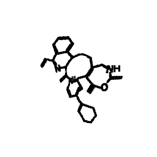 C=CC1=NC2C(=C)[n+]3ccc(C4CCCCC4)cc3C3=C(CCC2c2ccccc21)CNC(=C)OC3=C